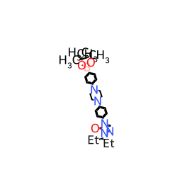 CCC(CC)n1ncn(-c2ccc(N3CCN(c4ccc(B5OC(C)(C)C(C)(C)O5)cc4)CC3)cc2)c1=O